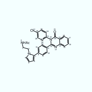 CC(=O)NCCn1cccc1-c1ccc(-c2nc3ccccc3c(=O)n2-c2ccc(Cl)cn2)cc1